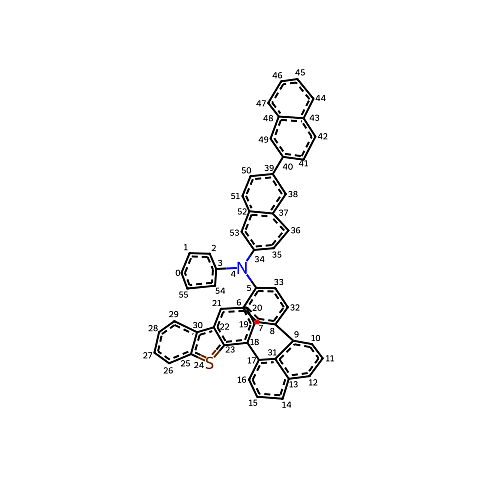 c1ccc(N(c2ccc(-c3cccc4cccc(-c5cccc6c5sc5ccccc56)c34)cc2)c2ccc3cc(-c4ccc5ccccc5c4)ccc3c2)cc1